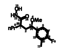 CCC[C@H](C[C@@H](OC)c1ccc(F)c(C)c1)C(=O)NO